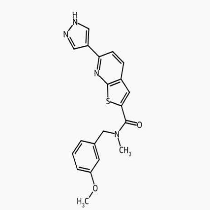 COc1cccc(CN(C)C(=O)c2cc3ccc(-c4cn[nH]c4)nc3s2)c1